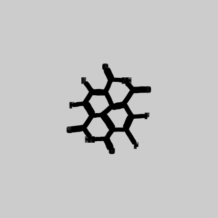 O=C1NC(=O)c2c(F)c(F)c3c4c(c(F)c(F)c1c24)C(=O)NC3=O